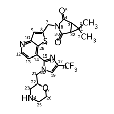 CC1(C)C2C(=O)N(Cc3cc4nccc(-c5nc(C(F)(F)F)cn5CC5CNCCO5)c4s3)C(=O)C21